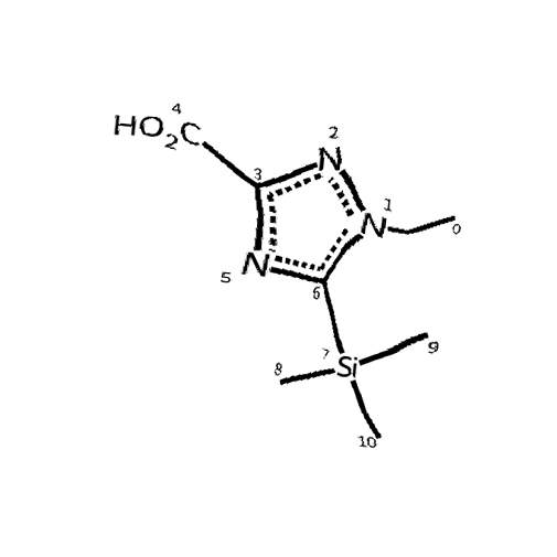 Cn1nc(C(=O)O)nc1[Si](C)(C)C